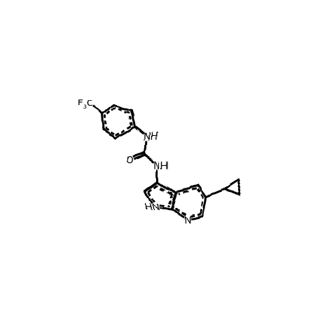 O=C(Nc1ccc(C(F)(F)F)cc1)Nc1c[nH]c2ncc(C3CC3)cc12